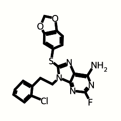 Nc1nc(F)nc2c1nc(Sc1ccc3c(c1)OCO3)n2CCc1ccccc1Cl